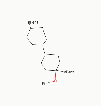 CCCCCC1CCC(C2CCC(CCCCC)(OCC)CC2)CC1